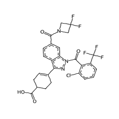 O=C(O)C1CC=C(c2nn(C(=O)c3c(Cl)cccc3C(F)(F)F)c3cc(C(=O)N4CC(F)(F)C4)ccc23)CC1